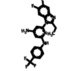 CCc1nc2cc(F)c(F)cc2n1-c1cc(N)cc(Nc2ccc(C(F)(F)F)cc2)n1